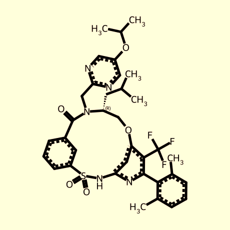 Cc1cccc(C)c1-c1nc2cc(c1C(F)(F)F)OC[C@@H](CC(C)C)N(Cc1ncc(OC(C)C)cn1)C(=O)c1cccc(c1)S(=O)(=O)N2